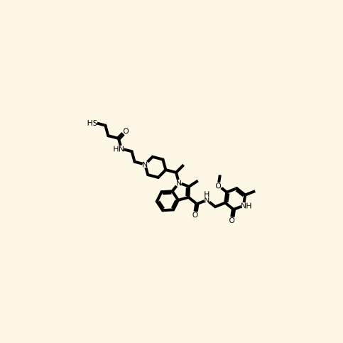 COc1cc(C)[nH]c(=O)c1CNC(=O)c1c(C)n(C(C)C2CCN(CCNC(=O)CCS)CC2)c2ccccc12